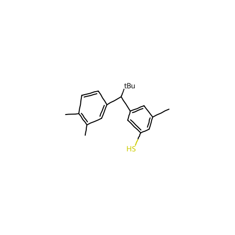 Cc1cc(S)cc(C(c2ccc(C)c(C)c2)C(C)(C)C)c1